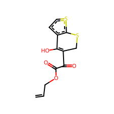 C=CCOC(=O)C(=O)C1=C(O)c2ccsc2SC1